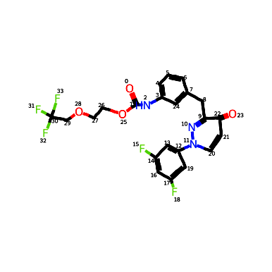 O=C(Nc1cccc(Cc2nn(-c3cc(F)cc(F)c3)ccc2=O)c1)OCCOCC(F)(F)F